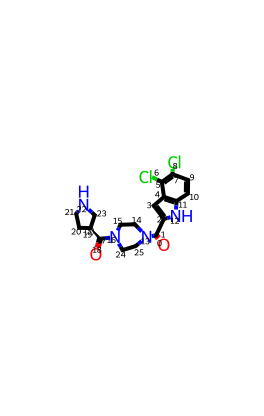 O=C(c1cc2c(Cl)c(Cl)ccc2[nH]1)N1CCN(C(=O)[C@H]2CCNC2)CC1